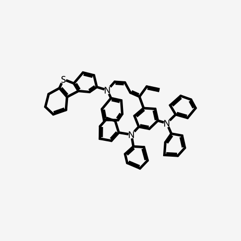 C=C/C(=C\C=C/N(c1ccccc1)c1ccc2sc3c(c2c1)C=CCC3)c1cc(N(C2=CC=CCC2)c2ccccc2)cc(N(c2ccccc2)c2ccccc2)c1